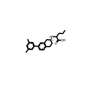 CCCC(N[C@H]1CCc2ccc(-c3cc(C)cc(C)c3)cc2C1)C(=O)O